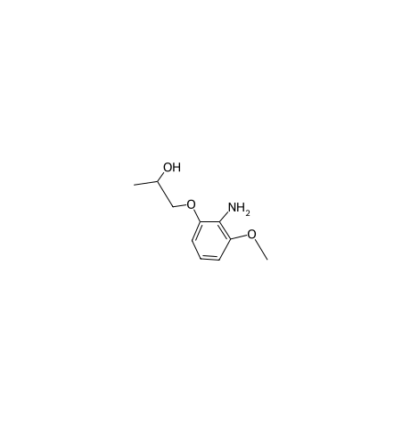 COc1cccc(OCC(C)O)c1N